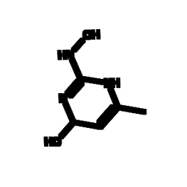 CC1=CC(O)N=C(NO)N1